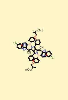 CCCCCCCCC(C)COc1cccc(-c2c3/c(=C(\C#N)c4cnc5cc(Cl)ccc5n4)n(B(c4ccccc4)c4ccccc4)c(-c4cccc(OCC(C)CCCCCCCC)c4)c3/c(=C(\C#N)c3cnc4cc(Cl)ccc4n3)n2B(c2ccccc2)c2ccccc2)c1